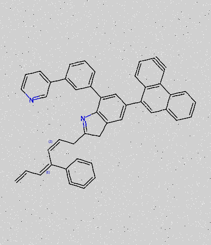 C=C/C=C(\C=C/CC1=Nc2c(cc(-c3cc4ccccc4c4c#cccc34)cc2-c2cccc(-c3cccnc3)c2)C1)C1=C=C=CC=C1